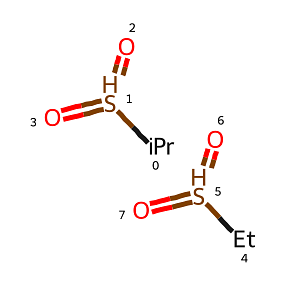 CC(C)[SH](=O)=O.CC[SH](=O)=O